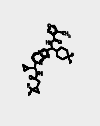 Cc1conc1C(=O)N[C@H](c1cn2ccc(C(NC(=O)C[C@H]3CC3(F)F)C3CC3)nc2n1)C1CCC(F)(F)CC1